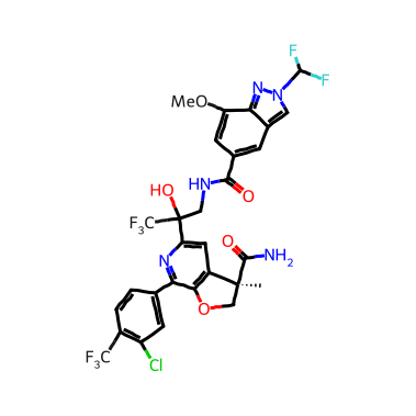 COc1cc(C(=O)NCC(O)(c2cc3c(c(-c4ccc(C(F)(F)F)c(Cl)c4)n2)OC[C@]3(C)C(N)=O)C(F)(F)F)cc2cn(C(F)F)nc12